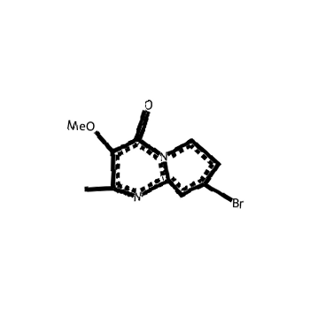 COc1c(C)nc2cc(Br)ccn2c1=O